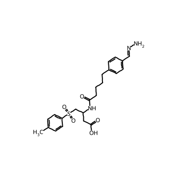 Cc1ccc(S(=O)(=O)CC(CC(=O)O)NC(=O)CCCCc2ccc(C=NN)cc2)cc1